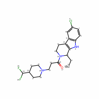 CC(C)(C)CC1c2[nH]c3ccc(Cl)cc3c2CCN1C(=O)CCN1CCC(C(F)F)CC1